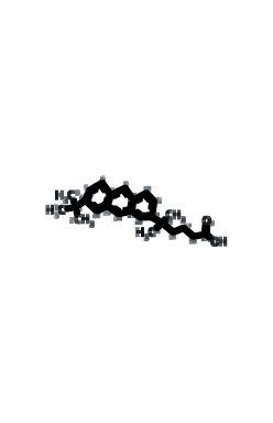 CC(C)(C)c1ccc2cc3ccc(C(C)(C)CCCC(=O)O)cc3cc2c1